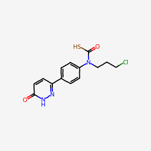 O=C(S)N(CCCCl)c1ccc(-c2ccc(=O)[nH]n2)cc1